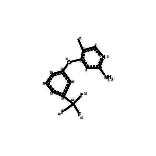 Cc1cnc(N)cc1Oc1cccc(C(F)(F)F)c1